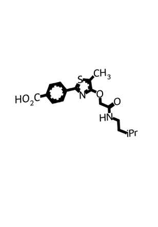 Cc1sc(-c2ccc(C(=O)O)cc2)nc1OCC(=O)NCCC(C)C